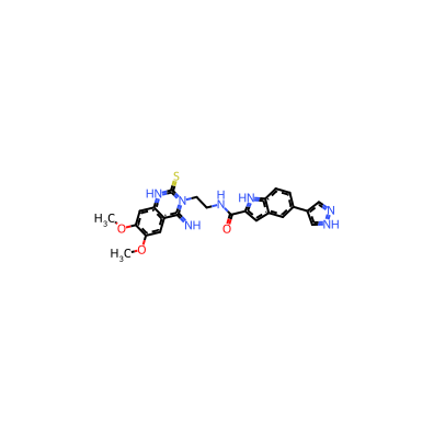 COc1cc2[nH]c(=S)n(CCNC(=O)c3cc4cc(-c5cn[nH]c5)ccc4[nH]3)c(=N)c2cc1OC